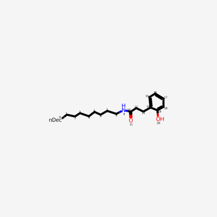 CCCCCCCCCCCCCCCCCCNC(=O)CCc1ccccc1O